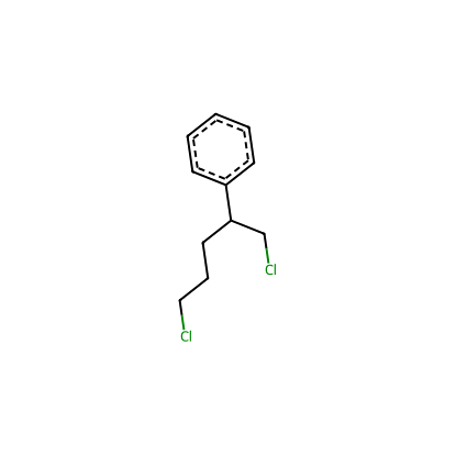 ClCCCC(CCl)c1ccccc1